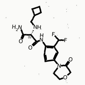 NC(=O)[C@H](NCC1CCC1)C(=O)Nc1ccc(N2CCOCC2=O)cc1C(F)F